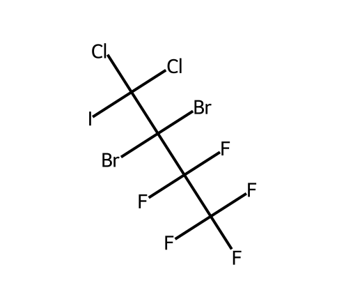 FC(F)(F)C(F)(F)C(Br)(Br)C(Cl)(Cl)I